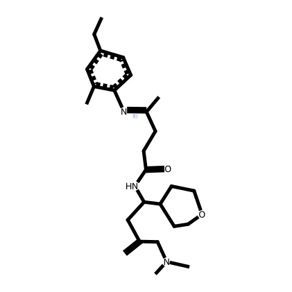 C=C(CC(NC(=O)CC/C(C)=N/c1ccc(CC)cc1C)C1CCOCC1)CN(C)C